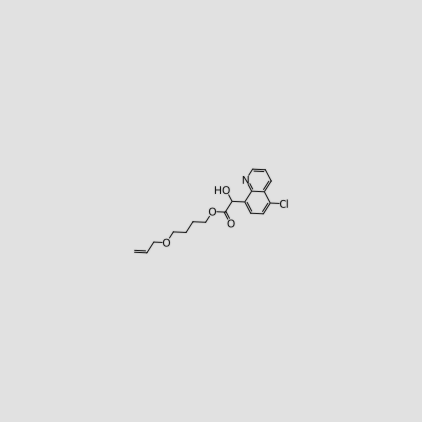 C=CCOCCCCOC(=O)C(O)c1ccc(Cl)c2cccnc12